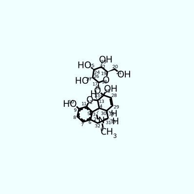 CN1CC[C@]23c4c5ccc(O)c4O[C@H]2[C@](O)(O[C@@H]2O[C@H](CO)[C@@H](O)[C@H](O)[C@H]2O)C=C[C@H]3[C@H]1C5